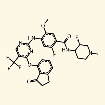 COc1cc(C(=O)NC2CCN(C)C[C@@H]2F)c(F)cc1Nc1ncc(C(F)(F)F)c(Oc2cccc3c2C(=O)CC3)n1